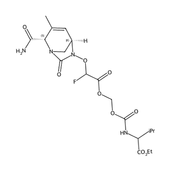 CCOC(=O)C(NC(=O)OCOC(=O)C(F)ON1C(=O)N2C[C@H]1C=C(C)[C@H]2C(N)=O)C(C)C